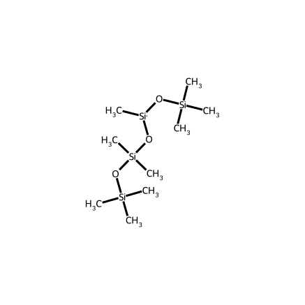 C[Si](O[Si](C)(C)C)O[Si](C)(C)O[Si](C)(C)C